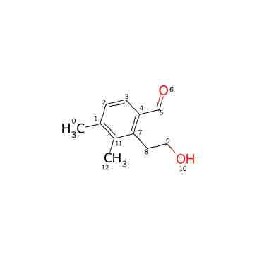 Cc1ccc(C=O)c(CCO)c1C